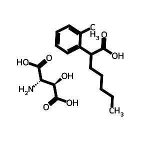 CCCCCC(C(=O)O)c1ccccc1C.N[C@H](C(=O)O)[C@@H](O)C(=O)O